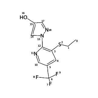 CCSc1cc(C(F)(F)F)cnc1-n1cc(O)cn1